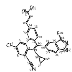 N#Cc1cc(Cl)ccc1C(=C(c1ccc(C=CC(=O)O)cc1)c1ccc2[nH]nc(F)c2c1)C1CC1